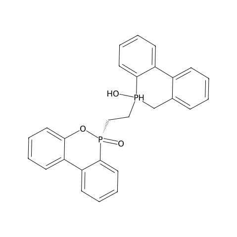 O=[P@]1(CC[PH]2(O)Cc3ccccc3-c3ccccc32)Oc2ccccc2-c2ccccc21